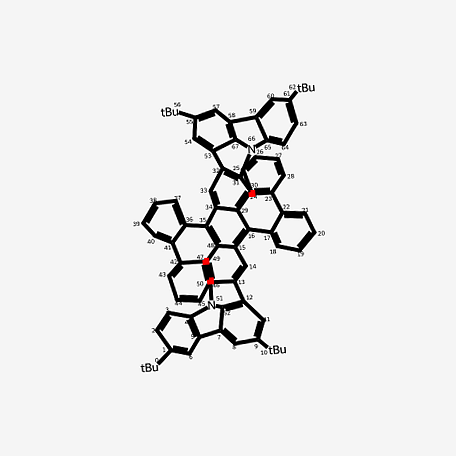 CC(C)(C)c1ccc2c(c1)c1cc(C(C)(C)C)cc3c4cc5c(-c6ccccc6-c6ccccc6)c6cc7c(cc6c(-c6ccccc6-c6ccccc6)c5cc4n2c13)c1cc(C(C)(C)C)cc2c3cc(C(C)(C)C)ccc3n7c21